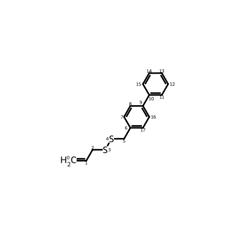 C=CCSSCc1ccc(-c2ccccc2)cc1